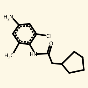 Cc1cc(N)cc(Cl)c1NC(=O)CC1CCCC1